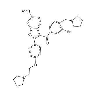 COc1ccc2c(C(=O)c3ccc(CN4CCCC4)c(Br)c3)c(-c3ccc(OCCN4CCCC4)cc3)sc2c1